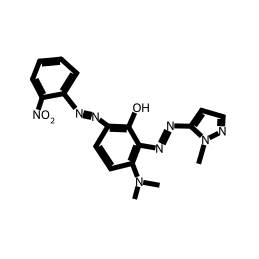 CN(C)c1ccc(/N=N/c2ccccc2[N+](=O)[O-])c(O)c1/N=N/c1ccnn1C